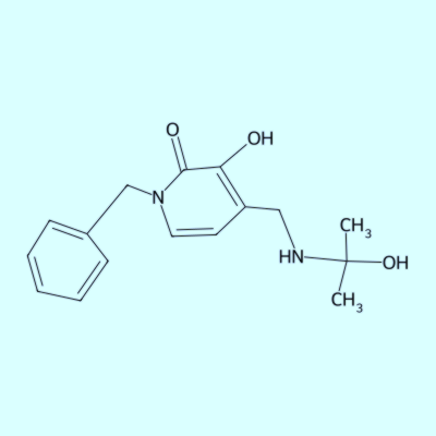 CC(C)(O)NCc1ccn(Cc2ccccc2)c(=O)c1O